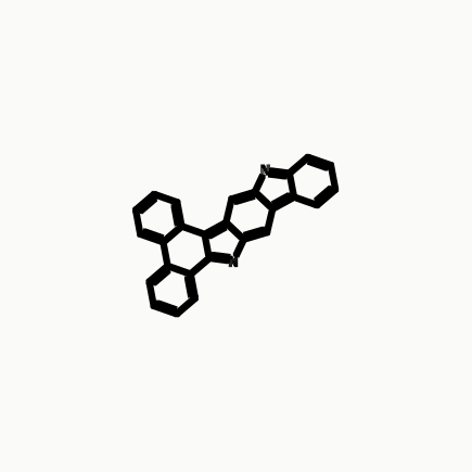 c1ccc2c(c1)=Nc1cc3c(cc1=2)N=c1c=3c2ccccc2c2ccccc12